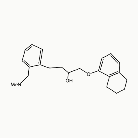 CNCc1ccccc1CCC(O)COc1cccc2c1CCCC2